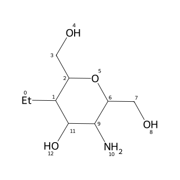 CCC1C(CO)OC(CO)C(N)C1O